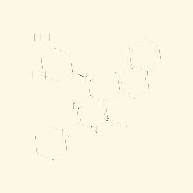 Cl.O=c1[nH]c(N2CCCCC2)nc(N[C@@H]2CCCNC2)c1-c1ccc2ccccc2n1